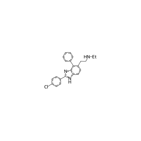 CCNCCc1ccc2[nH]c(-c3ccc(Cl)cc3)nc2c1-c1ccccc1